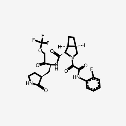 O=C(Nc1ccccc1F)C(=O)N1C[C@@H]2CC[C@@H]2[C@H]1C(=O)N[C@@H](C[C@@H]1CCNC1=O)C(=O)COC(F)(F)F